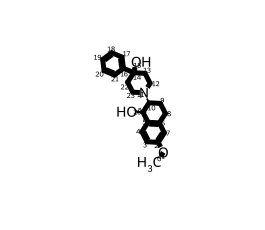 COc1ccc2c(c1)CC[C@@H](N1CCC(O)(c3ccccc3)CC1)[C@@H]2O